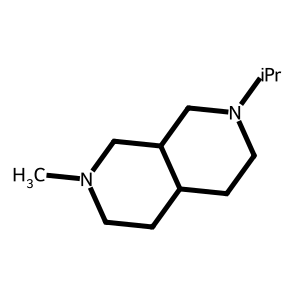 CC(C)N1CCC2CCN(C)CC2C1